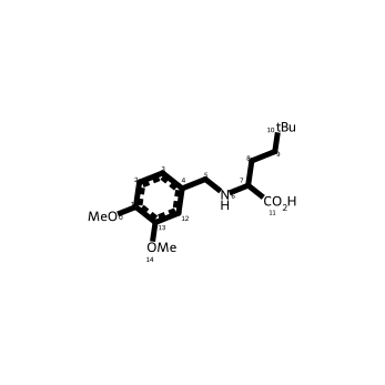 COc1ccc(CNC(CCC(C)(C)C)C(=O)O)cc1OC